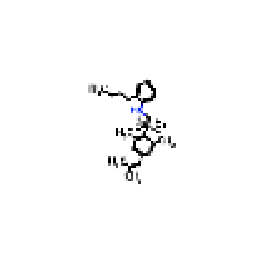 CCCCc1ccccc1NCC(C)(C)c1c(C)cc(C=C(C)C)cc1C